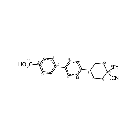 CCC1(C#N)CCC(c2ccc(-c3ccc(C(=O)O)cc3)cc2)CC1